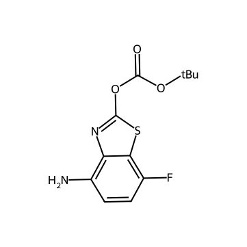 CC(C)(C)OC(=O)Oc1nc2c(N)ccc(F)c2s1